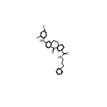 O=C(NCCCc1ccccc1)c1ccc2c(c1)C(=O)c1ccc(Nc3ccc(F)cc3F)cc1CC2